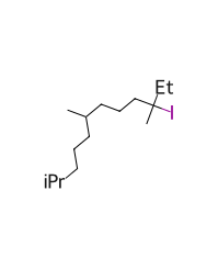 CCC(C)(I)CCCC(C)CCCC(C)C